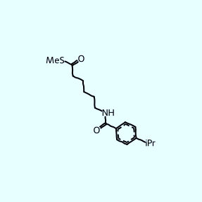 CSC(=O)CCCCCNC(=O)c1ccc(C(C)C)cc1